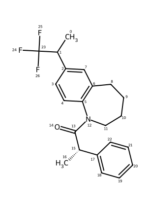 CC(c1ccc2c(c1)CCCCN2C(=O)[C@@H](C)c1ccccc1)C(F)(F)F